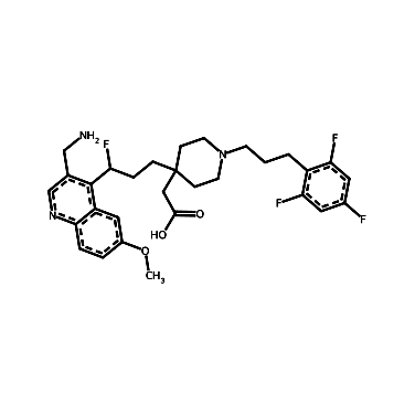 COc1ccc2ncc(CN)c(C(F)CCC3(CC(=O)O)CCN(CCCc4c(F)cc(F)cc4F)CC3)c2c1